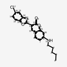 CCCCCNc1ccc2cc(-c3nc4cc(Cl)ccc4o3)c(=O)oc2c1